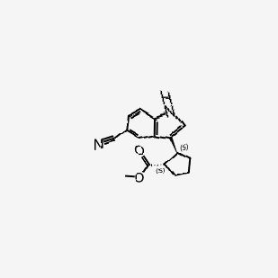 COC(=O)[C@H]1CCC[C@@H]1c1c[nH]c2ccc(C#N)cc12